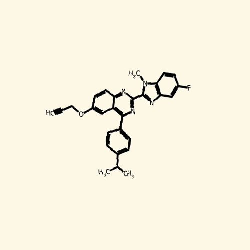 C#CCOc1ccc2nc(-c3nc4cc(F)ccc4n3C)nc(-c3ccc(C(C)C)cc3)c2c1